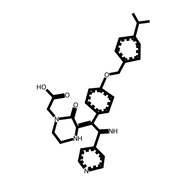 CC(C)c1ccc(COc2ccc(/C(C(=N)c3ccncc3)=C3/NCCN(CC(=O)O)C3=O)cc2)cc1